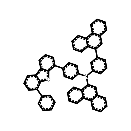 c1ccc(-c2cccc3c2oc2c(-c4ccc(N(c5cccc(-c6cc7ccccc7c7ccccc67)c5)c5cc6ccccc6c6ccccc56)cc4)cccc23)cc1